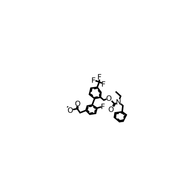 CCN(Cc1ccccc1)C(=O)OCc1cc(C(F)(F)F)ccc1-c1cc(CC(=O)OC)ccc1F